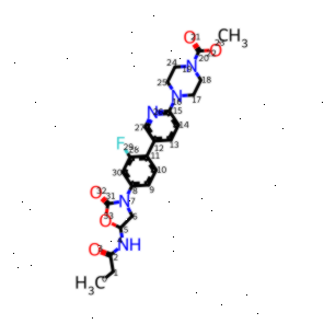 CCC(=O)NC1CN(c2ccc(-c3ccc(N4CCN(C(=O)OC)CC4)nc3)c(F)c2)C(=O)O1